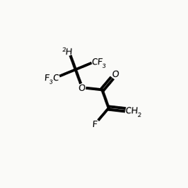 [2H]C(OC(=O)C(=C)F)(C(F)(F)F)C(F)(F)F